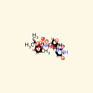 CC(C)OC(=O)[C@H](C)N[P@](=O)(OC[C@@]12CO[C@@H]([C@H](n3ccc(=O)[nH]c3=O)O1)[C@@H]2O)Oc1ccccc1